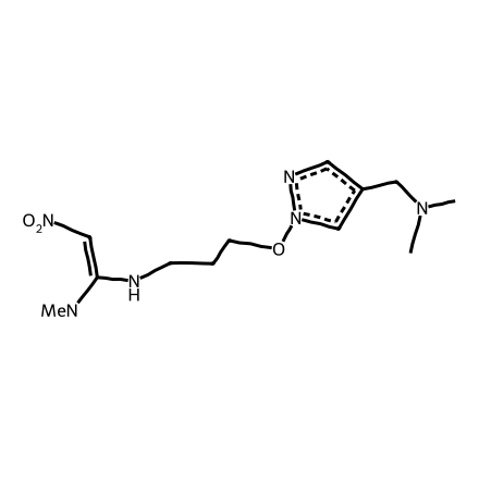 CNC(=C[N+](=O)[O-])NCCCOn1cc(CN(C)C)cn1